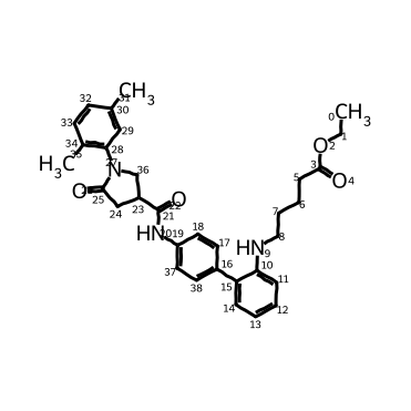 CCOC(=O)CCCCNc1ccccc1-c1ccc(NC(=O)C2CC(=O)N(c3cc(C)ccc3C)C2)cc1